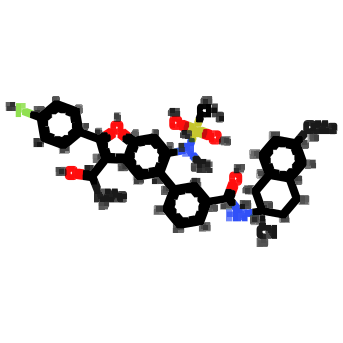 CCN(c1cc2oc(-c3ccc(F)cc3)c(C(=O)NC)c2cc1-c1cccc(C(=O)N[C@]2(C#N)CCc3cc(OC)ccc3C2)c1)S(C)(=O)=O